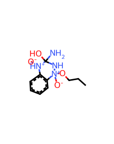 CCCO[N+]1([O-])NC(N)(O)[NH+]([O-])c2ccccc21